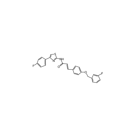 O=C(/C=C/c1ccc(OCc2cccc(F)c2)cc1)Nc1nc(-c2ccc(F)cc2)cs1